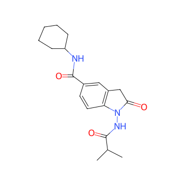 CC(C)C(=O)NN1C(=O)Cc2cc(C(=O)NC3CCCCC3)ccc21